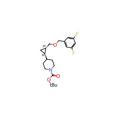 CC(C)(C)OC(=O)N1CCC([C@H]2C[C@H]2COCc2cc(F)cc(F)c2)CC1